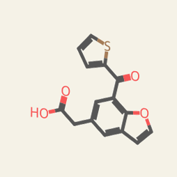 O=C(O)Cc1cc(C(=O)c2cccs2)c2occc2c1